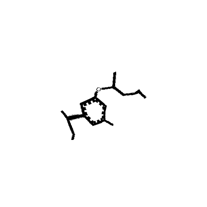 CCCC(C)Oc1cc(C)cc(C(C)C)c1